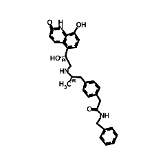 C[C@H](Cc1ccc(CC(=O)NCc2ccccc2)cc1)NC[C@H](O)c1ccc(O)c2[nH]c(=O)ccc12